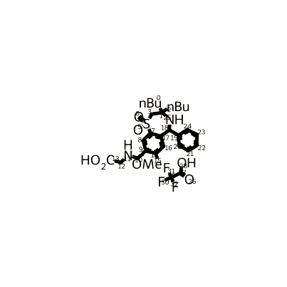 CCCCC1(CCCC)CS(=O)(=O)c2cc(CNCC(=O)O)c(OC)cc2C(c2ccccc2)N1.O=C(O)C(F)(F)F